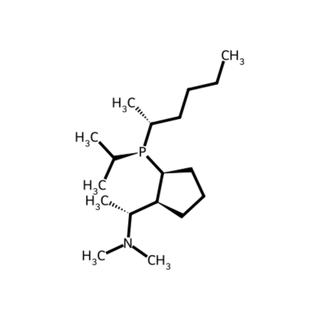 CCCC[C@@H](C)[P@](C(C)C)[C@H]1CCC[C@H]1[C@@H](C)N(C)C